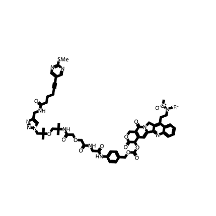 CSc1ncc(C#CCCCC(=O)NCc2cn(CC(C)(C)OCC(C)(C)NC(=O)COCC(=O)NCC(=O)Nc3ccc(COC(=O)OC4C(=O)OCc5c4cc4n(c5=O)Cc5c-4nc4ccccc4c5CCN(C(C)C)[S+](C)[O-])cc3)nn2)cn1